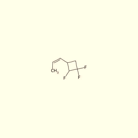 C/C=C\C1CC(F)(F)C1F